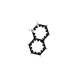 [c]1ccc2nnc[c]c2c1